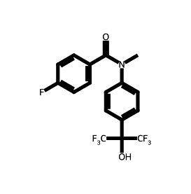 CN(C(=O)c1ccc(F)cc1)c1ccc(C(O)(C(F)(F)F)C(F)(F)F)cc1